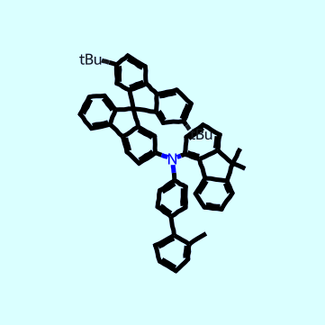 Cc1ccccc1-c1ccc(N(c2ccc3c(c2)C2(c4ccccc4-3)c3cc(C(C)(C)C)ccc3-c3ccc(C(C)(C)C)cc32)c2cccc3c2-c2ccccc2C3(C)C)cc1